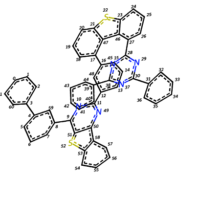 c1ccc(-c2cccc(-c3nc(-c4cccc(-c5cccc6sc7cccc(-c8nc(-c9ccccc9)nc(-c9ccccc9)n8)c7c56)c4)nc4c3sc3ccccc34)c2)cc1